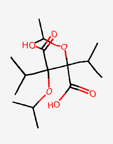 CC(C)OC(C(=O)O)(C(C)C)C(OC(C)C)(C(=O)O)C(C)C